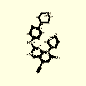 C#Cc1cc(=O)n(-c2ccccc2)c2nc(Nc3ccc(C4CCNCC4)cc3)ncc12